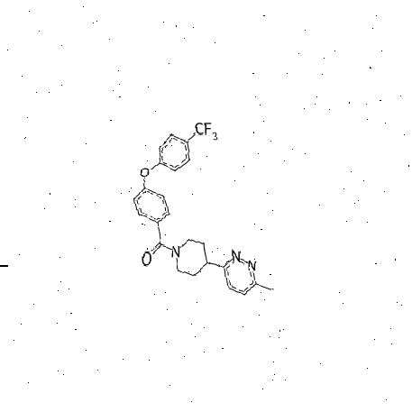 Cc1ccc(C2CCN(C(=O)c3ccc(Oc4ccc(C(F)(F)F)cc4)cc3)CC2)nn1